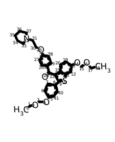 CCOCOc1ccc(-c2sc3cc(OCOCC)ccc3c2C(=O)c2ccc(OCCN3CCCCC3)cc2)cc1